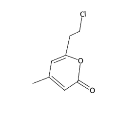 Cc1cc(CCCl)oc(=O)c1